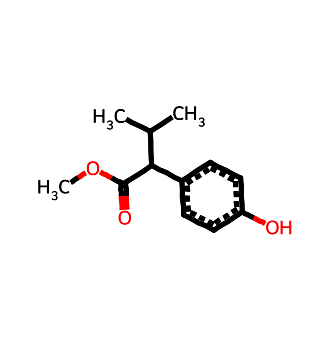 COC(=O)C(c1ccc(O)cc1)C(C)C